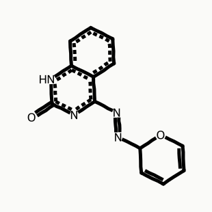 O=c1nc(N=NC2C=CC=CO2)c2ccccc2[nH]1